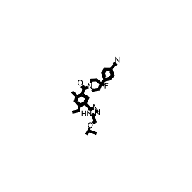 CCc1cc(C)c(C(=O)N2CCC(F)(c3ccc(C#N)cc3)CC2)cc1-c1nnc(COC(C)C)[nH]1